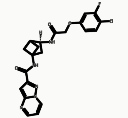 O=C(COc1ccc(Cl)c(F)c1)N[C@H]1CC2(NC(=O)c3cc4ncccn4n3)CC1C2